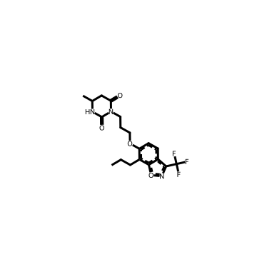 CCCc1c(OCCCN2C(=O)CC(C)NC2=O)ccc2c(C(F)(F)F)noc12